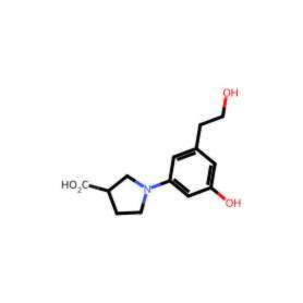 O=C(O)C1CCN(c2cc(O)cc(CCO)c2)C1